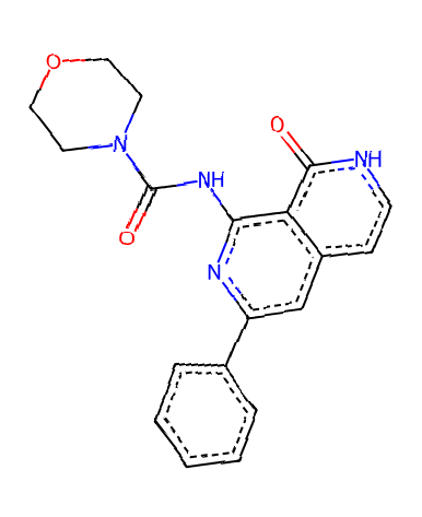 O=C(Nc1nc(-c2ccccc2)cc2cc[nH]c(=O)c12)N1CCOCC1